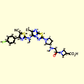 CCc1nc2sc(N3CC[C@H](N(C)CC(=O)N4CC(C(=O)O)C4)C3)nn2c1N(C)c1nc(-c2ccc(F)cc2)c(C#N)s1